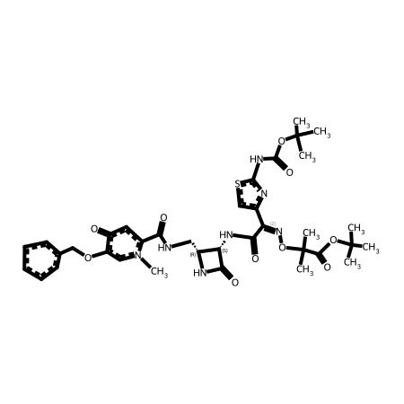 Cn1cc(OCc2ccccc2)c(=O)cc1C(=O)NC[C@H]1NC(=O)[C@H]1NC(=O)/C(=N\OC(C)(C)C(=O)OC(C)(C)C)c1csc(NC(=O)OC(C)(C)C)n1